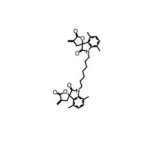 C=C1CC2(OC1=O)C(=O)N(CCCCCCCN1C(=O)C3(CC(=C)C(=O)O3)c3c(C)ccc(C)c31)c1c(C)ccc(C)c12